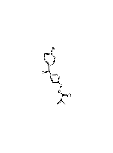 C=C(C)C(=O)OOc1ccc(C(=O)c2ccc(Br)cc2)cc1